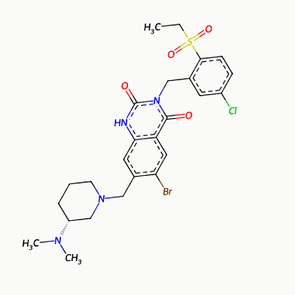 CCS(=O)(=O)c1ccc(Cl)cc1Cn1c(=O)[nH]c2cc(CN3CCC[C@@H](N(C)C)C3)c(Br)cc2c1=O